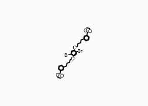 Brc1cc(OCCCCc2cccc(C3OCCO3)c2)c(Br)cc1OCCCCc1cccc(C2OCCO2)c1